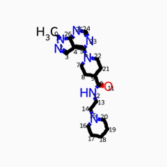 Cn1ncc2c(N3CCC(C(=O)NCCN4CCCCC4)CC3)ncnc21